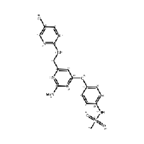 CNc1nc(CNc2ncc(Cl)cn2)cc(Oc2ccc(NS(C)(=O)=O)cc2)n1